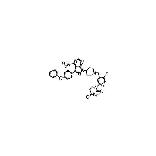 Nc1ncnc2c1c(-c1ccc(Oc3ccccc3)cc1)nn2C1CCN(Cc2cc(N3CCC(=O)NC3=O)ncc2F)CC1